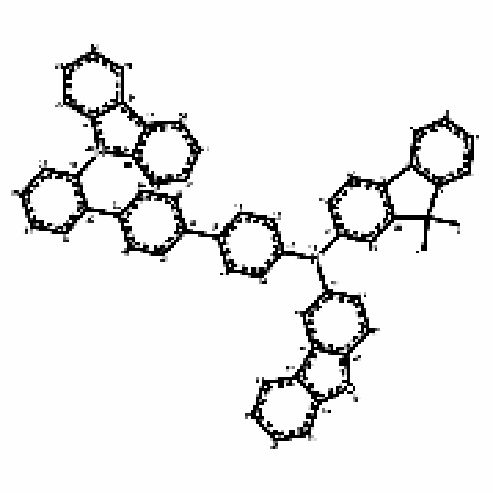 CC1(C)c2ccccc2-c2ccc(N(c3ccc(-c4ccc(-c5ccccc5-n5c6ccccc6c6ccccc65)cc4)cc3)c3ccc4oc5ccccc5c4c3)cc21